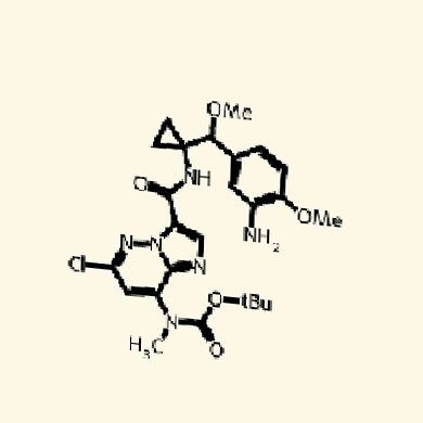 COc1ccc(C(OC)C2(NC(=O)c3cnc4c(N(C)C(=O)OC(C)(C)C)cc(Cl)nn34)CC2)cc1N